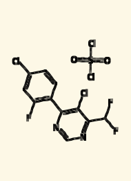 Fc1cc(Cl)ccc1-c1ncnc(C(F)F)c1Cl.O=S(=O)(Cl)Cl